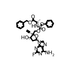 C#C[C@]1(CO[P@](=O)(N[C@@H](C)C(=O)OCc2ccccc2)Oc2ccccc2)O[C@@H](n2cnc3c(N)nc(F)nc32)C[C@@H]1O